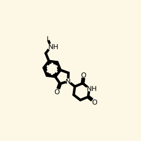 O=C1CCC(N2Cc3cc(CNI)ccc3C2=O)C(=O)N1